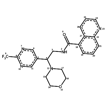 O=C(NCC(c1cnc(C(F)(F)F)nc1)N1CCOCC1)c1cccc2ncccc12